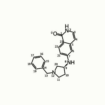 O=c1[nH]ccc2cc(N[C@H]3CCN(Cc4ccccc4)C3)ccc12